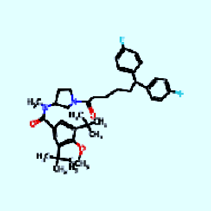 COc1c(C(C)(C)C)cc(C(=O)N(C)C2CCN(C(=O)CCCCC(c3ccc(F)cc3)c3ccc(F)cc3)C2)cc1C(C)(C)C